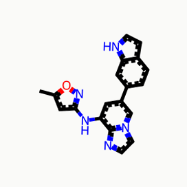 Cc1cc(Nc2cc(-c3ccc4cc[nH]c4c3)cn3ccnc23)no1